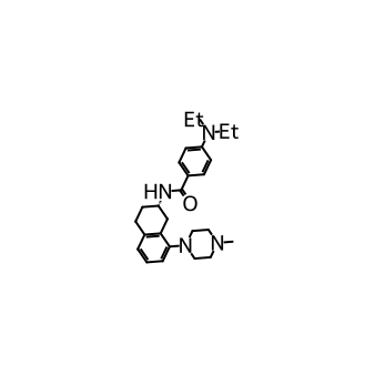 CCN(CC)c1ccc(C(=O)N[C@H]2CCc3cccc(N4CCN(C)CC4)c3C2)cc1